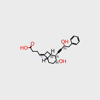 O=C(O)CC/C=C1\C[C@@H]2[C@@H](C#C[C@@H](O)Cc3ccccc3)[C@H](O)CC[C@H]12